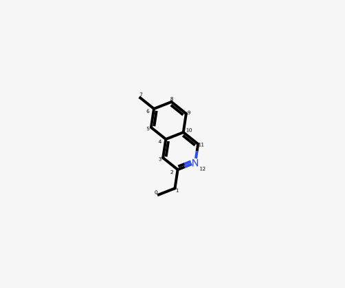 CCc1cc2cc(C)ccc2cn1